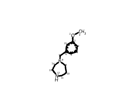 COc1cccc(CN2CCCNCC2)c1